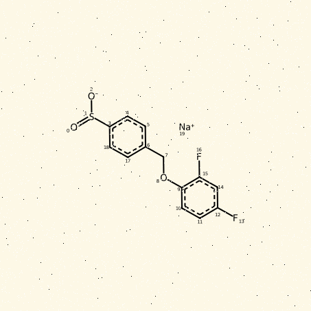 O=S([O-])c1ccc(COc2ccc(F)cc2F)cc1.[Na+]